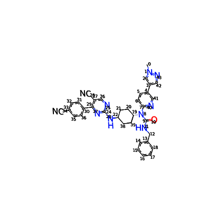 Cn1cc(-c2ccc(N(C(=O)NCc3ccccc3)[C@H]3CC[C@H](Nc4ncc(C#N)c(-c5ccc(C#N)cc5)n4)CC3)nc2)cn1